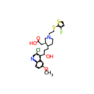 COc1ccc2ncc(Cl)c([C@@H](O)CC[C@@H]3CCN(CCSc4sccc4F)C[C@@H]3CC(=O)O)c2c1